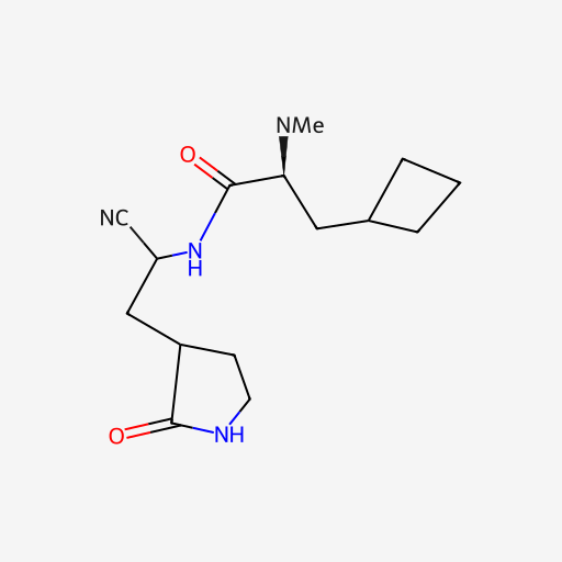 CN[C@@H](CC1CCC1)C(=O)NC(C#N)CC1CCNC1=O